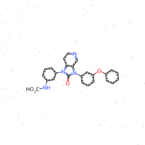 O=C(O)Nc1cccc(-n2c(=O)n(-c3cccc(Oc4ccccc4)c3)c3cnccc32)c1